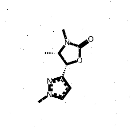 C[C@H]1[C@@H](c2ccn(C)n2)OC(=O)N1C